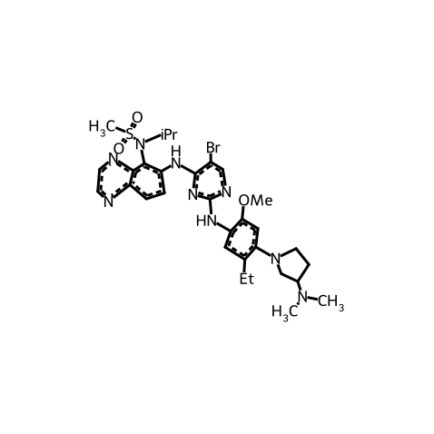 CCc1cc(Nc2ncc(Br)c(Nc3ccc4nccnc4c3N(C(C)C)S(C)(=O)=O)n2)c(OC)cc1N1CCC(N(C)C)C1